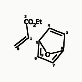 C=CC(=O)OCC.c1cc2ccc1o2